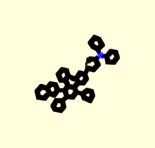 c1ccc(-c2cc(-c3ccccc3)c3c4ccc(-c5ccc(N(c6ccccc6)c6ccccc6)cc5)cc4c4ccccc4c3c2-c2ccc3ccccc3c2)cc1